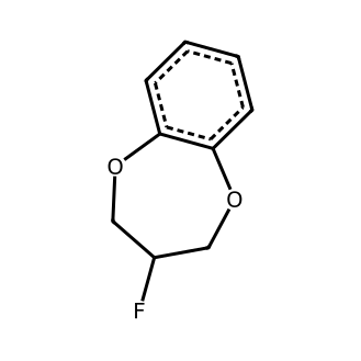 FC1COc2ccccc2OC1